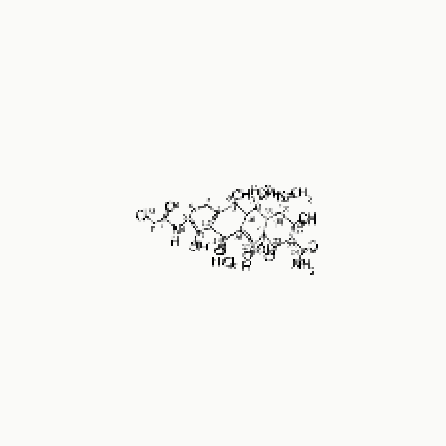 CC1c2ccc(NC(=O)CCl)c(O)c2C(=O)C2=C(O)C3(O)C(=O)C(C(N)=O)=C(O)[C@@H](N(C)C)C3C(O)C21.Cl